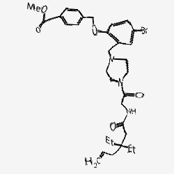 C=CCC(CC)(CC)CC(=O)NCC(=O)N1CCN(Cc2cc(Br)ccc2OCc2ccc(C(=O)OC)cc2)CC1